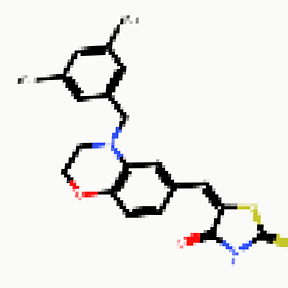 CC(C)(C)c1cc(CN2CCOc3ccc(C=C4SC(=S)NC4=O)cc32)cc(C(C)(C)C)c1